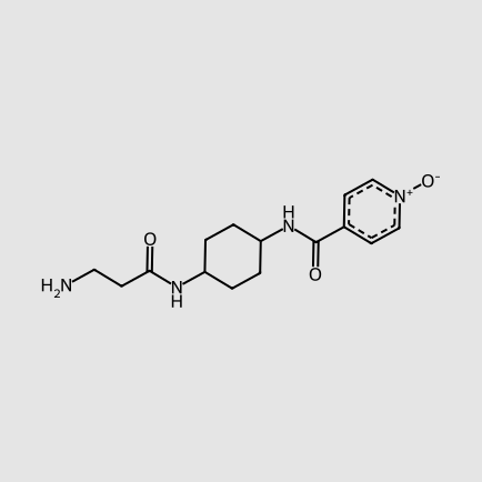 NCCC(=O)NC1CCC(NC(=O)c2cc[n+]([O-])cc2)CC1